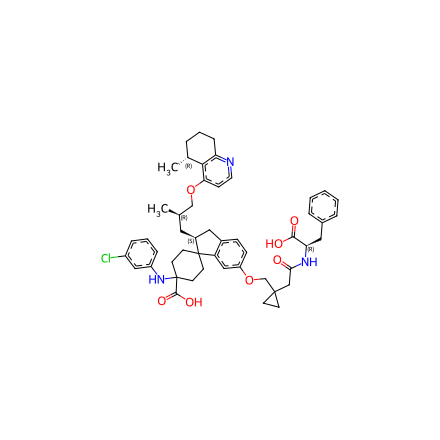 C[C@@H](COc1ccnc2c1[C@H](C)CCC2)C[C@H]1Cc2ccc(OCC3(CC(=O)N[C@H](Cc4ccccc4)C(=O)O)CC3)cc2C12CCC(Nc1cccc(Cl)c1)(C(=O)O)CC2